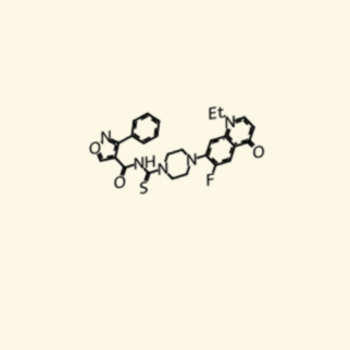 CCn1ccc(=O)c2cc(F)c(N3CCN(C(=S)NC(=O)c4conc4-c4ccccc4)CC3)cc21